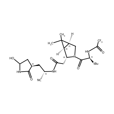 CC(C)(C)[C@H](NC(=O)C(F)(F)F)C(=O)N1C[C@H]2[C@@H]([C@H]1CC(=O)N[C@H](C#N)C[C@@H]1CC(O)NC1=O)C2(C)C